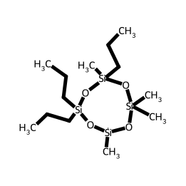 CCC[Si]1(C)O[Si](C)(C)O[Si](C)O[Si](CCC)(CCC)O1